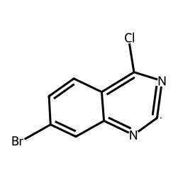 Clc1n[c]nc2cc(Br)ccc12